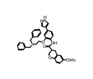 COc1ccc2c(c1)CC(C(=O)Nc1ccc(-c3cn[nH]c3)cc1OCCN(Cc1ccccc1)Cc1ccccc1)CO2